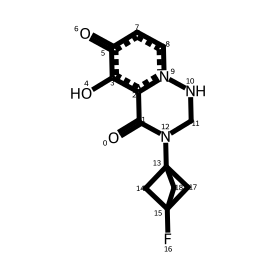 O=C1c2c(O)c(=O)ccn2NCN1C12CC(F)(C1)C2